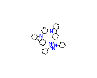 c1ccc(-c2nc(-c3ccc4c5ccccc5n(-c5cccc(-n6c7ccccc7c7ccccc76)c5)c4c3)n(-c3ccccc3)n2)cc1